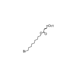 CCCCCCCC/C=C/C(=O)OCCCCCCCCCBr